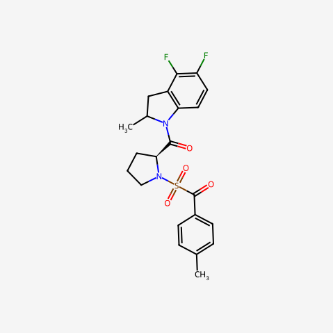 Cc1ccc(C(=O)S(=O)(=O)N2CCC[C@H]2C(=O)N2c3ccc(F)c(F)c3CC2C)cc1